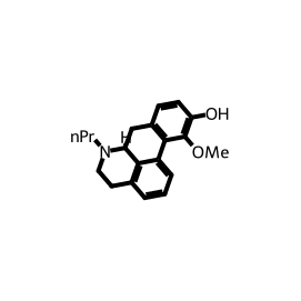 CCCN1CCc2cccc3c2[C@H]1Cc1ccc(O)c(OC)c1-3